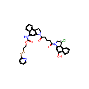 O=C(Nc1cc2c(c3ccccc13)CCN2C(=O)CCCC(=O)N1C[C@@H](Cl)c2c1cc(O)c1ccccc21)OCCSSc1ccccn1